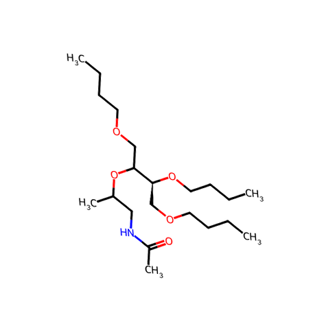 CCCCOCC(OC(C)CNC(C)=O)[C@H](COCCCC)OCCCC